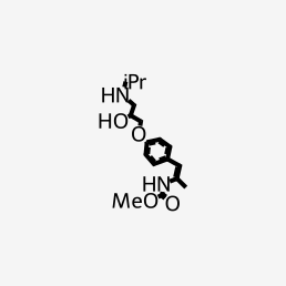 COC(=O)NC(C)=Cc1ccc(OCC(O)CNC(C)C)cc1